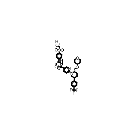 CCS(=O)(=O)c1ccc([C@H](CO)NC(=O)c2ccc(N3CC(c4ccc(C(F)(F)F)cc4)CC[C@H]3COC3CCOCC3)nc2)cc1